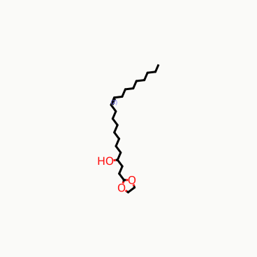 CCCCCCCC/C=C\CCCCCCCC(O)CCC1OCCO1